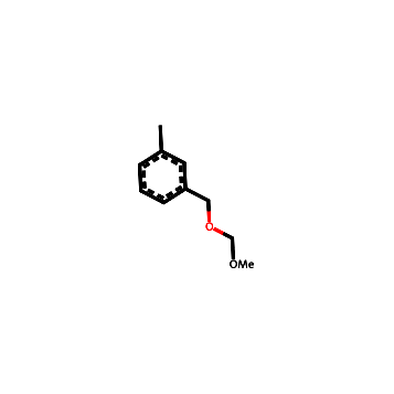 COCOCc1cccc(C)c1